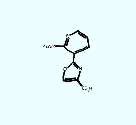 CC(=O)Nc1ncccc1-c1nc(C(=O)O)co1